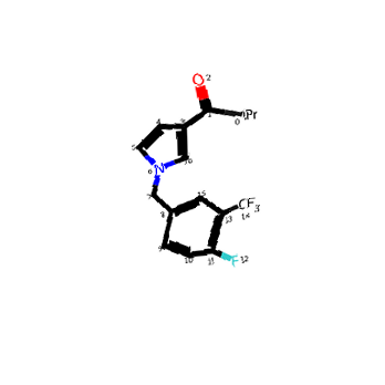 CC(C)C(=O)c1ccn(Cc2ccc(F)c(C(F)(F)F)c2)c1